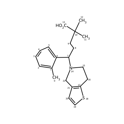 Cc1ccccc1C(CCC(C)(C)C(=O)O)N1CCc2sccc2C1